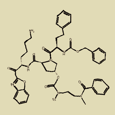 CCN(CCN(C)C(=O)c1ccccc1)C(=O)O[C@@H]1C[C@@H](C(=O)N[C@@H](CCCCN)C(=O)c2nc3ccccc3o2)N(C(=O)[C@@H](CCc2ccccc2)NC(=O)OCc2ccccc2)C1